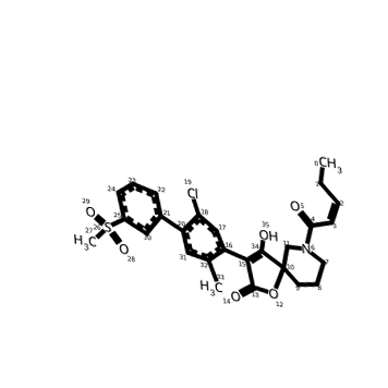 CC/C=C\C(=O)N1CCCC2(C1)OC(=O)C(c1cc(Cl)c(-c3cccc(S(C)(=O)=O)c3)cc1C)=C2O